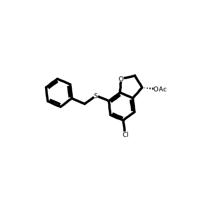 CC(=O)O[C@H]1COc2c(SCc3ccccc3)cc(Cl)cc21